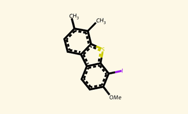 COc1ccc2c(sc3c(C)c(C)ccc32)c1I